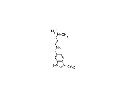 CN(C)CCCNCc1ccc2c(C=O)c[nH]c2c1